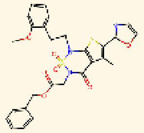 COc1ccccc1CCN1c2sc(-c3ncco3)c(C)c2C(=O)N(CC(=O)OCc2ccccc2)S1(=O)=O